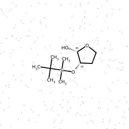 CC(C)(C)[Si](C)(C)O[C@H]1CCO[C@H]1O